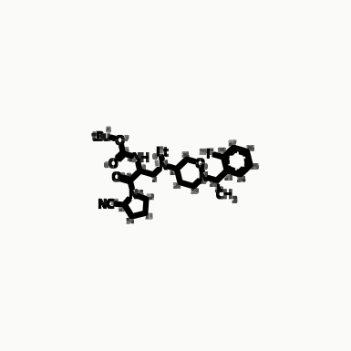 CCN(CC(NC(=O)OC(C)(C)C)C(=O)N1CCCC1C#N)C1CCN([C@@H](C)c2ccccc2F)OC1